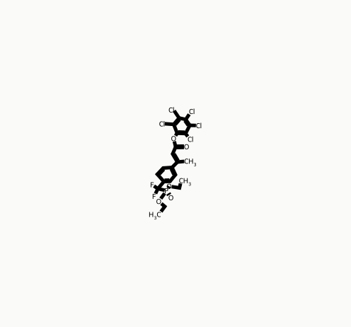 CCOP(=O)(OCC)C(F)(F)c1ccc(C(C)=CC(=O)Oc2c(Cl)c(Cl)c(Cl)c(Cl)c2Cl)cc1